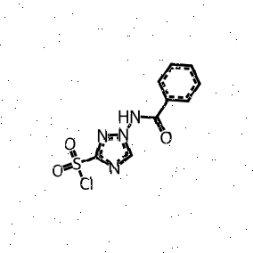 O=C(Nn1cnc(S(=O)(=O)Cl)n1)c1ccccc1